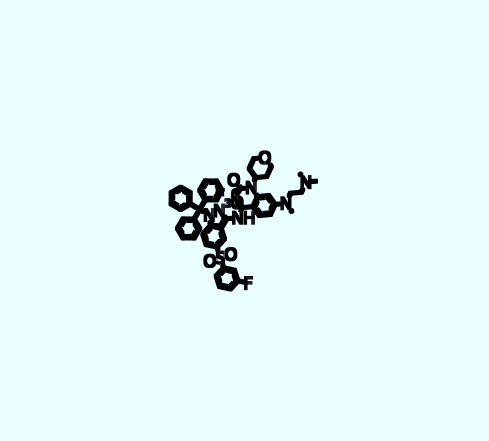 CN(C)CCN(C)c1ccc(C(=O)Nc2nn(C(c3ccccc3)(c3ccccc3)c3ccccc3)c3ccc(S(=O)(=O)c4cccc(F)c4)cc23)c(N(C(=O)C(F)(F)F)C2CCOCC2)c1